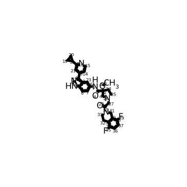 CO[C@@]1(C(=O)Nc2ccc3[nH]nc(-c4ccnc(C5CC5)c4)c3c2)CCN(CC(=O)N2CCc3c(F)ccc(F)c3C2)C1